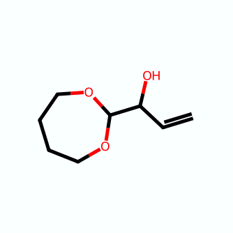 C=CC(O)C1OCCCCO1